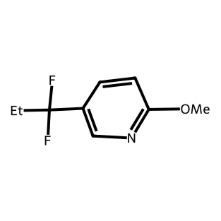 CCC(F)(F)c1ccc(OC)nc1